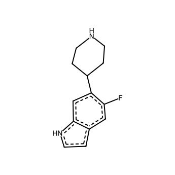 Fc1cc2cc[nH]c2cc1C1CCNCC1